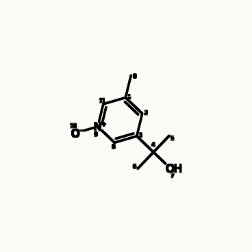 Cc1cc(C(C)(C)O)c[n+]([O-])c1